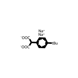 CC(C)(C)c1ccc(C(C(=O)[O-])C(=O)[O-])cc1.[Na+].[Na+]